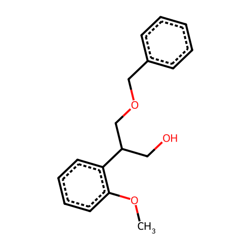 COc1ccccc1C(CO)COCc1ccccc1